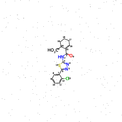 O=C(Nc1nnc(-c2ccccc2Cl)s1)C1=CCCCC1C(=O)O